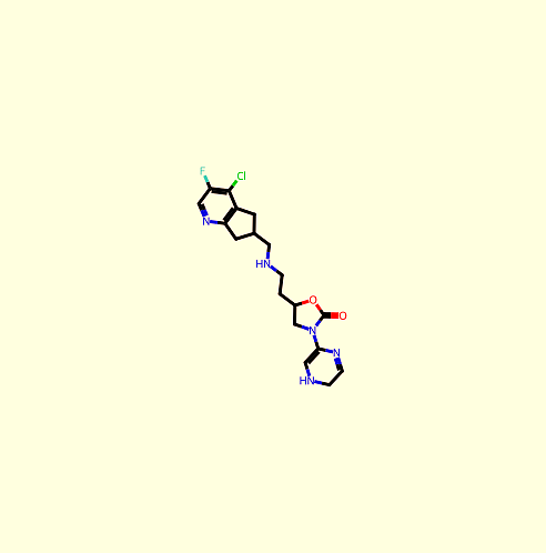 O=C1OC(CCNCC2Cc3ncc(F)c(Cl)c3C2)CN1C1=CNCC=N1